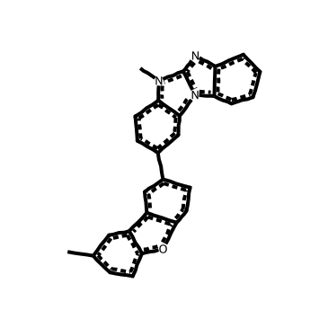 Cc1ccc2oc3ccc(-c4ccc5c(c4)n4c6ccccc6nc4n5C)cc3c2c1